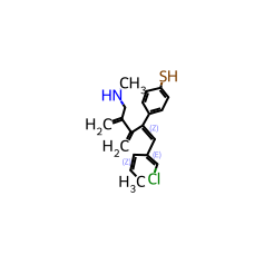 C=C(CNC)C(=C)\C(=C/C(/C=C\C)=C/Cl)c1ccc(S)cc1